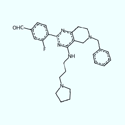 O=Cc1ccc(-c2nc3c(c(NCCCN4CCCC4)n2)CN(Cc2ccccc2)CC3)c(F)c1